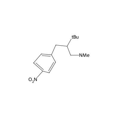 CNCC(Cc1ccc([N+](=O)[O-])cc1)C(C)(C)C